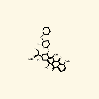 COc1cccc2c1C(=O)c1c(O)c3c(c(O)c1C2=O)C[C@@](O)(/C(CO)=N\NC(C)=O)CC3O[C@H]1CC[C@H](O[C@@H]2CCCCO2)[C@H](C)O1